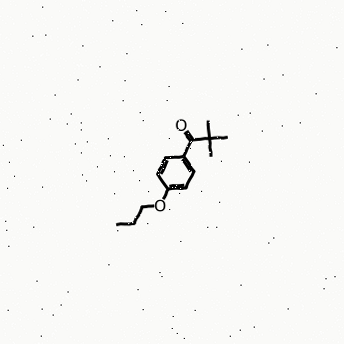 CCCOc1ccc(C(=O)C(C)(C)C)cc1